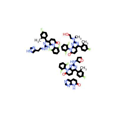 Cc1cc(F)ccc1-c1nc(N(C)CCO)nc2c1ccc(=O)n2-c1c(F)cccc1F.Cc1cc(F)ccc1-c1nc(NC2CCOC2)nc2c1ccc(=O)n2-c1c(F)cccc1F.Cc1cc(F)ccc1-c1nc(NCCc2c[nH]cn2)nc2c1ccc(=O)n2-c1c(F)cccc1F.O=c1ccc2cncnc2[nH]1